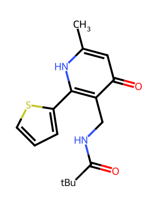 Cc1cc(=O)c(CNC(=O)C(C)(C)C)c(-c2cccs2)[nH]1